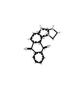 O=C1c2ccccc2C(=O)c2c1ccc1nc3n(c21)CCS3